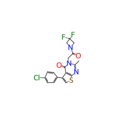 Cc1nc2scc(-c3ccc(Cl)cc3)c2c(=O)n1CC(=O)N1CC(F)(F)C1